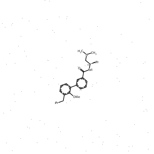 COc1c(CC(C)C)cccc1-c1cccc(C(=O)N[C@@H](CN(C)C)C(C)C)c1